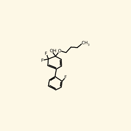 CCCCOC1(O)C=CC(c2ccccc2F)=CC1(F)F